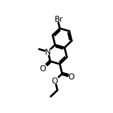 CCOC(=O)c1cc2ccc(Br)cc2n(C)c1=O